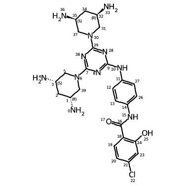 N[C@@H]1C[C@H](N)CN(c2nc(Nc3ccc(NC(=O)c4ccc(Cl)cc4O)cc3)nc(N3C[C@H](N)C[C@H](N)C3)n2)C1